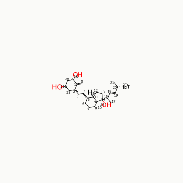 C=C1/C(=C\C=C2/CCC[C@@]3(C)[C@H]2CC[C@]3(O)[C@H](C)/C=C/[C@H](C)C(C)C)C[C@@H](O)C[C@@H]1O